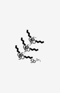 CCCCCOP(=S)([S-])OCCCCC.CCCCCOP(=S)([S-])OCCCCC.CCCCCOP(=S)([S-])OCCCCC.[Sb+3]